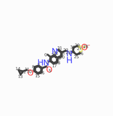 Cc1c(NC(=O)c2ccc(OCC3CC3)cc2)ccc2cc(CNC3CC[S+]([O-])CC3)cnc12